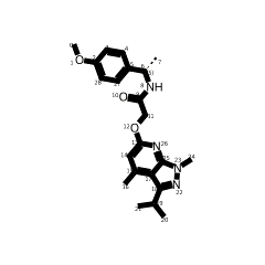 COc1ccc([C@H](C)NC(=O)COc2cc(C)c3c(C(C)C)nn(C)c3n2)cc1